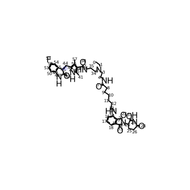 CCN(CCNC(=O)CCCCCCNc1cccc2c1C(=O)N(C1CCC(=O)NC1=O)C2=O)CCNC(=O)c1c(C)[nH]c(/C=C2\C(=O)Nc3ccc(F)cc32)c1C